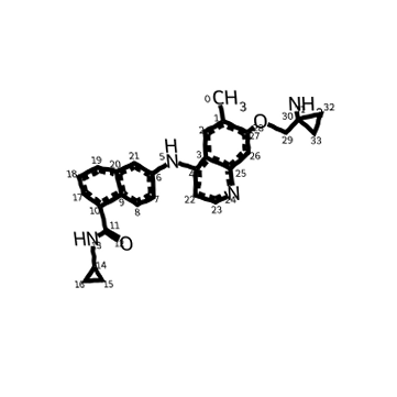 Cc1cc2c(Nc3ccc4c(C(=O)NC5CC5)cccc4c3)ccnc2cc1OCC1(N)CC1